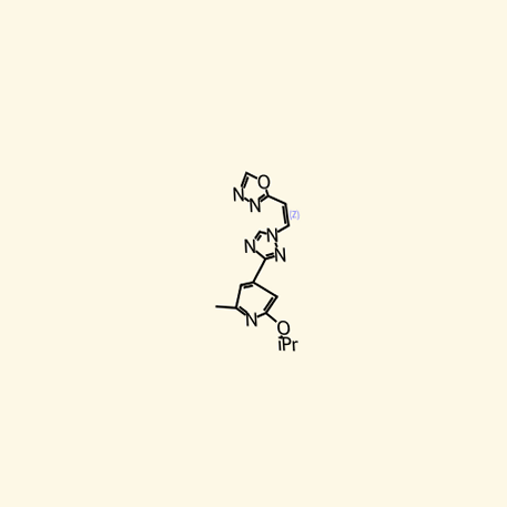 Cc1cc(-c2ncn(/C=C\c3nnco3)n2)cc(OC(C)C)n1